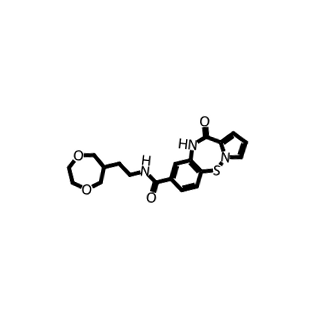 O=C(NCCC1COCCOC1)c1ccc2c(c1)NC(=O)c1cccn1S2